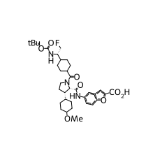 COC1CCC([C@@H]2CCN(C(=O)C3CCC([C@@H](CF)NC(=O)OC(C)(C)C)CC3)[C@@H]2C(=O)Nc2ccc3oc(C(=O)O)cc3c2)CC1